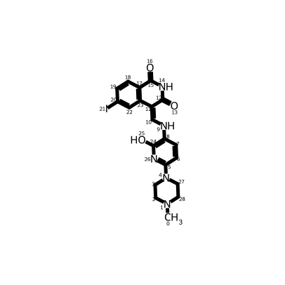 CN1CCN(c2ccc(NC=C3C(=O)NC(=O)c4ccc(I)cc43)c(O)n2)CC1